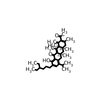 C=C1C(C(C)=O)=C(C)C[C@@]2(C)C[C@@]3(C)Cc4c(C(C)C)cc(CCCC(CC)CC)c(O)c4C(=O)C3=C(C)[C@@]12C